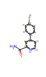 NC(=O)c1cc(-c2ccc(F)cc2)ccn1